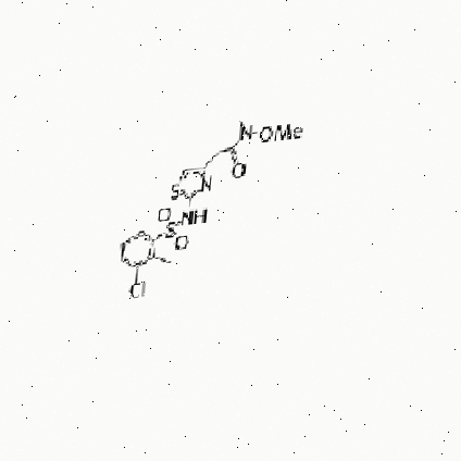 CON(C)C(=O)Cc1csc(NS(=O)(=O)c2cccc(Cl)c2C)n1